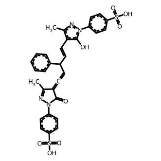 CC1=NN(c2ccc(S(=O)(=O)O)cc2)C(=O)C1=C=CC(/C=C/c1c(C)nn(-c2ccc(S(=O)(=O)O)cc2)c1O)c1ccccc1